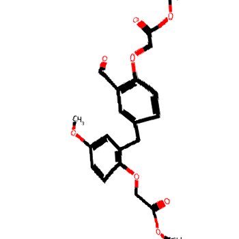 COC(=O)COc1ccc(Cc2cc(OC)ccc2OCC(=O)OC)cc1C=O